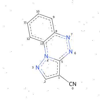 N#Cc1cnn2c1nnc1ccccc12